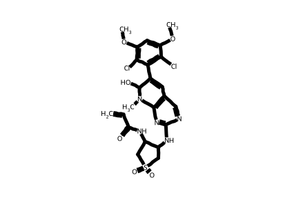 C=CC(=O)NC1CS(=O)(=O)CC1Nc1ncc2c(n1)N(C)C(O)C(c1c(Cl)c(OC)cc(OC)c1Cl)=C2